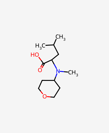 CC(C)CC(C(=O)O)N(C)C1CCOCC1